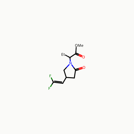 CCC(C(=O)OC)N1CC(C=C(F)F)CC1=O